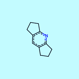 c1c2c(nc3c1CCC3)CCC2